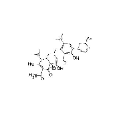 CC(=O)c1cccc(-c2cc(N(C)C)c3c(c2O)C(=O)C2=C(O)C4(O)C(=O)C(C(N)=O)=C(O)C(N(C)C)C4CC2C3)c1